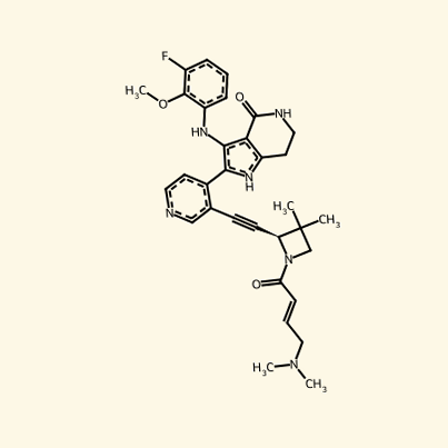 COc1c(F)cccc1Nc1c(-c2ccncc2C#C[C@@H]2N(C(=O)/C=C/CN(C)C)CC2(C)C)[nH]c2c1C(=O)NCC2